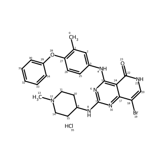 Cc1cc(Nc2nc(NC3CCN(C)CC3)nc3c(Br)c[nH]c(=O)c23)ccc1Oc1ccccc1.Cl